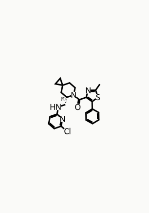 Cc1nc(C(=O)N2CCC3(CC3)C[C@H]2CNc2cccc(Cl)n2)c(-c2ccccc2)s1